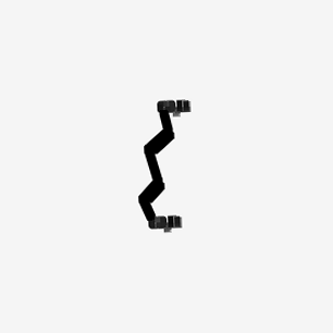 CCOC(=O)C=CC=CC(=O)OCC